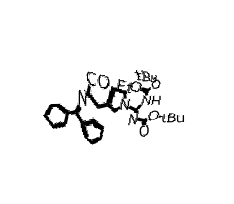 CCOC(=O)C(CC1=CCN(C(=NC(=O)OC(C)(C)C)NC(=O)OC(C)(C)C)C1)N=C(c1ccccc1)c1ccccc1